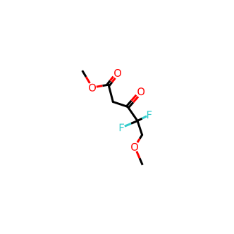 COCC(F)(F)C(=O)CC(=O)OC